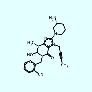 CC#CCn1c(N2CCC[C@@H](N)C2)nc2c1C(=O)N(Cc1ccccc1C#N)C(O)N2C